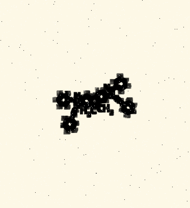 CC1(C)c2cc3c(cc2-c2cc4nc(-c5ccccc5)n(C#Cc5ccccc5)c4cc21)nc(C1=CCCC=C1)n3C#Cc1ccccc1